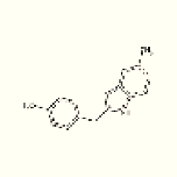 Cc1ccc2[nH]c(Cc3ccc(C(F)(F)F)cc3)cc2c1